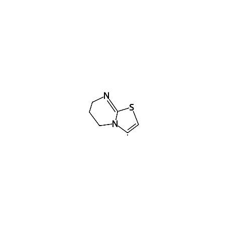 [C]1=CSC2=NCCCN12